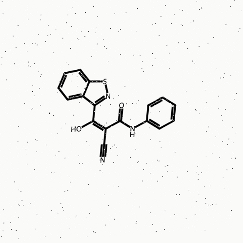 N#CC(C(=O)Nc1ccccc1)=C(O)c1nsc2ccccc12